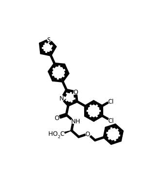 O=C(N[C@@H](COCc1ccccc1)C(=O)O)c1nc(-c2ccc(-c3ccsc3)cc2)oc1-c1ccc(Cl)c(Cl)c1